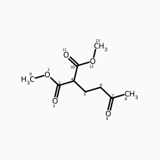 COC(=O)C(CCC(C)=O)C(=O)OC